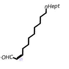 CCCCCCCCCCCCCCC/C=C\[C]=O